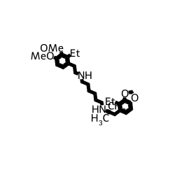 CCc1c(CCNCCCCCCNC(C)(C)Cc2ccc3c(c2CC)OCO3)ccc(OC)c1OC